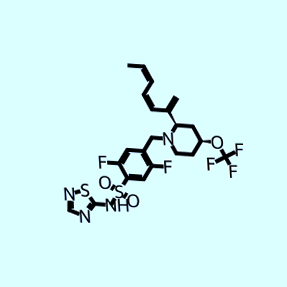 C=C(/C=C\C=C/C)[C@H]1C[C@@H](OC(F)(F)F)CCN1Cc1cc(F)c(S(=O)(=O)Nc2ncns2)cc1F